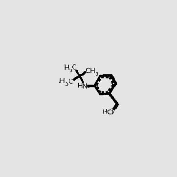 CC(C)(C)Nc1cccc(CO)c1